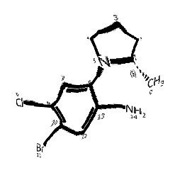 C[C@H]1CCCN1c1cc(Cl)c(Br)cc1N